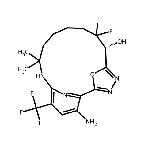 CC1(C)CCCCC(F)(F)[C@H](O)c2nnc(o2)-c2nc(c(C(F)(F)F)cc2N)N1